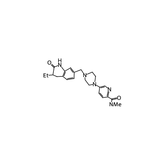 CCC1Cc2ccc(CN3CCN(c4ccc(C(=O)NC)nc4)CC3)cc2NC1=O